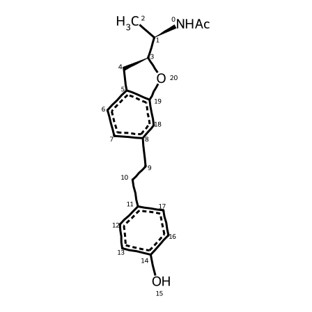 CC(=O)N[C@H](C)[C@@H]1Cc2ccc(CCc3ccc(O)cc3)cc2O1